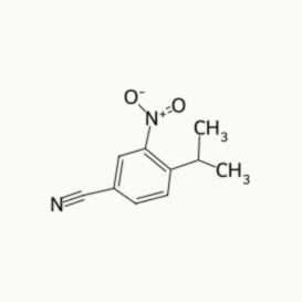 CC(C)c1ccc(C#N)cc1[N+](=O)[O-]